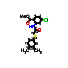 COC(=O)c1ccc(Cl)cc1NC(=O)CSc1ccc(C)c(C)c1